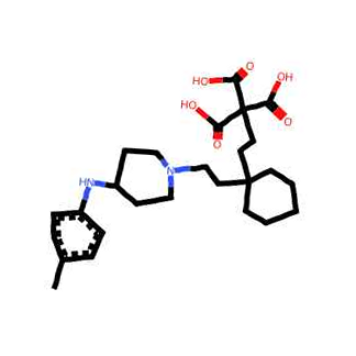 Cc1ccc(NC2CCN(CCC3(CCC(C(=O)O)(C(=O)O)C(=O)O)CCCCC3)CC2)cc1